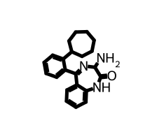 NC1N=C(c2ccccc2C2CCCCCC2)c2ccccc2NC1=O